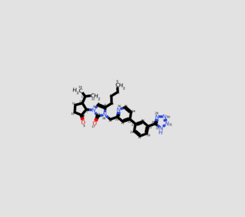 CCCCc1cn(C2C(=O)CCC2C(C)C)c(=O)n1Cc1cc(-c2cccc(-c3nnn[nH]3)c2)ccn1